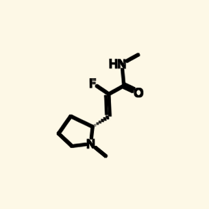 CNC(=O)/C(F)=C/[C@H]1CCCN1C